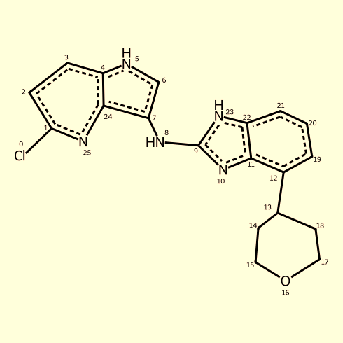 Clc1ccc2[nH]cc(Nc3nc4c(C5CCOCC5)cccc4[nH]3)c2n1